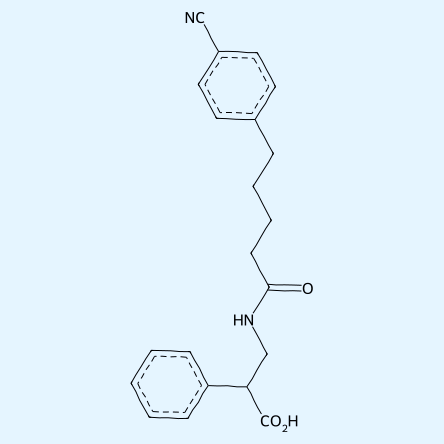 N#Cc1ccc(CCCCC(=O)NCC(C(=O)O)c2ccccc2)cc1